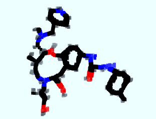 Cc1ccc(NC(=O)Nc2ccc3c(c2)CC(=O)N([C@@H](C)CO)C[C@@H](C)[C@H](CN(C)Cc2ccncc2)O3)cc1